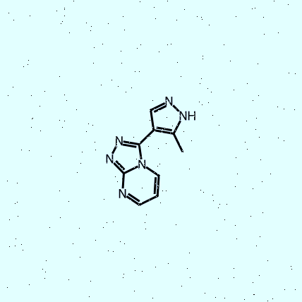 Cc1[nH]ncc1-c1nnc2ncccn12